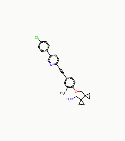 Cc1cc(C#Cc2ccc(-c3ccc(Cl)cc3)cn2)ccc1OCC1(C2(CN)CC2)CC1